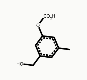 Cc1cc(CO)cc(OC(=O)O)c1